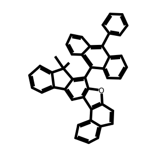 CC1(C)c2ccccc2-c2cc3c(oc4ccc5ccccc5c43)c(-c3c4ccccc4c(-c4ccccc4)c4ccccc34)c21